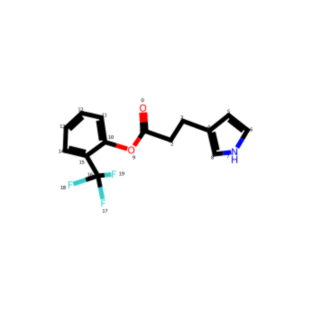 O=C(CCc1cc[nH]c1)Oc1ccccc1C(F)(F)F